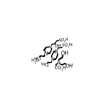 O.O=C(O)CN(CCO)CCO.O=S(=O)(O)CC(O)CN1CCN(CCO)CC1.O=S(=O)(O)CCN1CCN(CCO)CC1